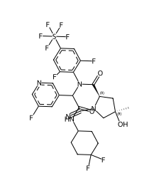 C[C@@]1(O)C[C@H](C(=O)N(c2c(F)cc(S(F)(F)(F)(F)F)cc2F)C(C(=O)NC2CCC(F)(F)CC2)c2cncc(F)c2)N(C#N)C1